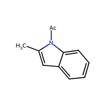 CC(=O)n1c(C)cc2ccccc21